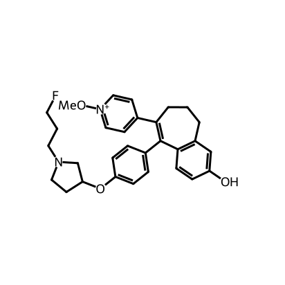 CO[n+]1ccc(C2=C(c3ccc(OC4CCN(CCCF)C4)cc3)c3ccc(O)cc3CCC2)cc1